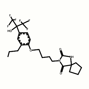 CCCc1cc(C(O)(C(F)(F)F)C(F)(F)F)ccc1OCCCCN1C(=O)NC2(CCCC2)C1=O